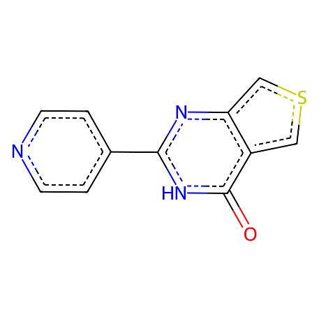 O=c1[nH]c(-c2ccncc2)nc2cscc12